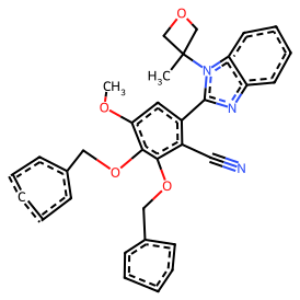 COc1cc(-c2nc3ccccc3n2C2(C)COC2)c(C#N)c(OCc2ccccc2)c1OCc1ccccc1